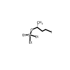 CC[Si](CC)(CC)O[C@H](C)CCI